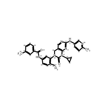 Cc1ccc(Nc2ncc3c(n2)N(C2CC2)C(=O)N(c2cc(NC(=O)c4cccc(C(F)(F)F)c4)ccc2C)C3)cn1